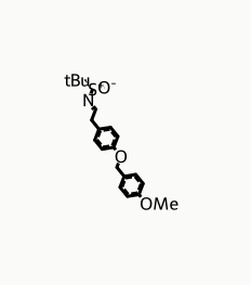 COc1ccc(COc2ccc(C/C=N/[S@@+]([O-])C(C)(C)C)cc2)cc1